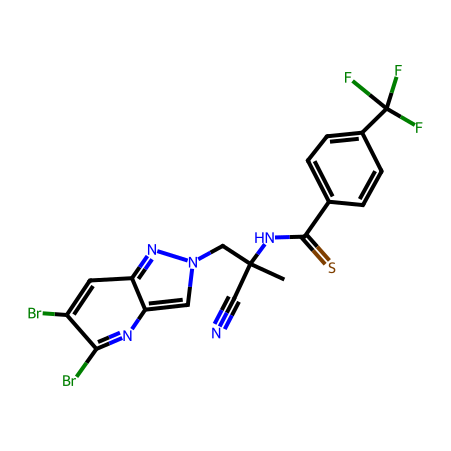 CC(C#N)(Cn1cc2nc(Br)c(Br)cc2n1)NC(=S)c1ccc(C(F)(F)F)cc1